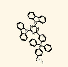 Cc1ccc([Si](c2ccccc2)(c2ccccc2)c2cccc(-c3nc(-n4c5ccccc5c5ccccc54)nc(-n4c5ccccc5c5ccccc54)n3)c2)cc1